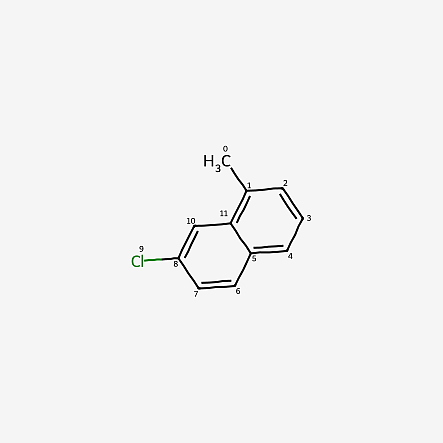 Cc1cccc2ccc(Cl)cc12